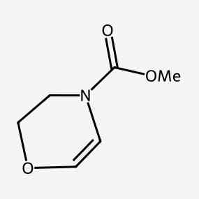 COC(=O)N1C=COCC1